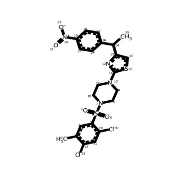 Cc1cc(S(=O)(=O)N2CCN(c3nc(C(C)c4ccc([N+](=O)[O-])cc4)cs3)CC2)c(Cl)cc1Cl